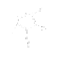 N#Cc1c(Cl)ccc(Cl)c1N